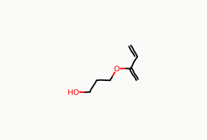 C=CC(=C)OCCCO